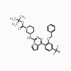 CC(C)(C)OC(=O)N1CCC[C@@H](Nc2nnc(-c3ccc(C(F)(F)F)cc3OCc3ccccc3)c3cccn23)C1